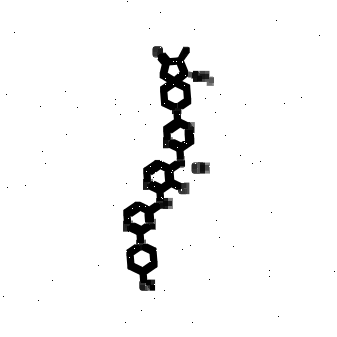 C[C@@H]1C(=O)CC2(CCN(c3cnc(Sc4ccnc(Nc5ccnc(N6CCC(C#N)CC6)n5)c4Cl)cn3)CC2)[C@H]1N.Cl